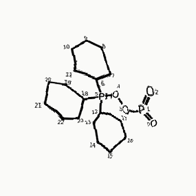 O=P(=O)OO[PH](C1CCCCC1)(C1CCCCC1)C1CCCCC1